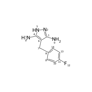 Nc1n[nH]c(N)c1Cc1ccc(F)cc1